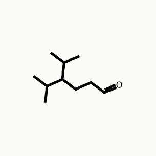 CC(C)C(CCC=O)C(C)C